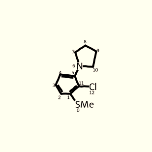 CSc1cccc(N2CCCC2)c1Cl